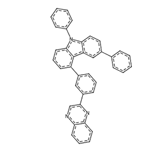 c1ccc(-c2ccc3c(c2)c2c(-c4cccc(-c5cnc6ccccc6n5)c4)cccc2n3-c2ccccc2)cc1